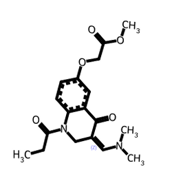 CCC(=O)N1C/C(=C/N(C)C)C(=O)c2cc(OCC(=O)OC)ccc21